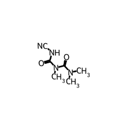 CN(C)C(=O)N(C)C(=O)NC#N